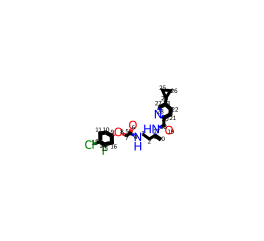 C=C(CCNC(=O)COc1ccc(Cl)c(F)c1)NC(=O)c1ccc(C2CC2)cn1